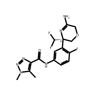 Cc1c(C(=O)Nc2ccc(F)c([C@]3(C(F)F)COCC(N)=N3)c2)nnn1C